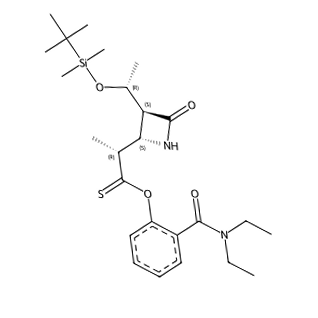 CCN(CC)C(=O)c1ccccc1OC(=S)[C@H](C)[C@H]1NC(=O)[C@@H]1[C@@H](C)O[Si](C)(C)C(C)(C)C